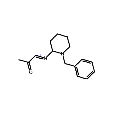 CC(=O)/C=N/C1CCCCN1Cc1ccccc1